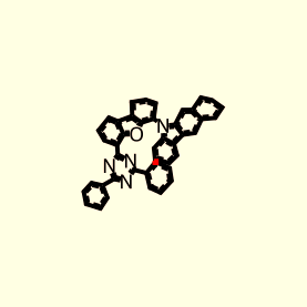 c1ccc(-c2nc(-c3ccccc3)nc(-c3cccc4c3oc3c(-n5c6ccccc6c6cc7ccccc7cc65)cccc34)n2)cc1